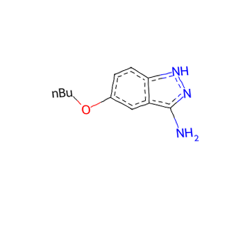 CCCCOc1ccc2[nH]nc(N)c2c1